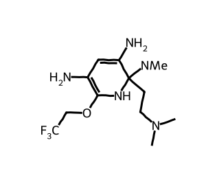 CNC1(CCN(C)C)NC(OCC(F)(F)F)=C(N)C=C1N